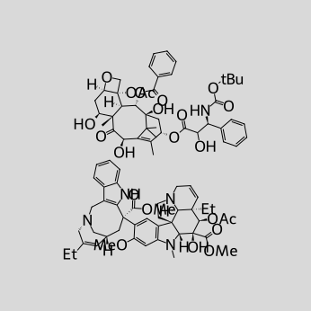 CC(=O)O[C@@]12CO[C@@H]1C[C@H](O)[C@@]1(C)C(=O)[C@H](O)C3=C(C)[C@@H](OC(=O)C(O)[C@@H](NC(=O)OC(C)(C)C)c4ccccc4)C[C@@](O)([C@@H](OC(=O)c4ccccc4)[C@H]21)C3(C)C.CCC1=C[C@@H]2C[N@](C1)Cc1c([nH]c3ccccc13)[C@@](C(=O)OC)(c1cc3c(cc1OC)N(C)[C@H]1[C@@](O)(C(=O)OC)[C@H](OC(C)=O)[C@]4(CC)C=CCN5CC[C@]31[C@@H]54)C2